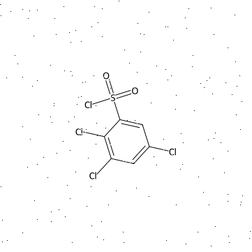 O=S(=O)(Cl)c1cc(Cl)cc(Cl)c1Cl